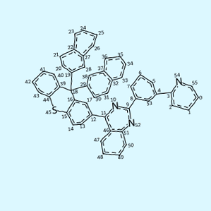 c1ccc(-c2cccc(-c3nc(-c4ccc5c(c4)C(c4ccc6ccccc6c4)(c4ccc6ccccc6c4)c4ccccc4S5)c4ccccc4n3)c2)nc1